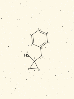 SC1(Cc2ccccc2)CC1